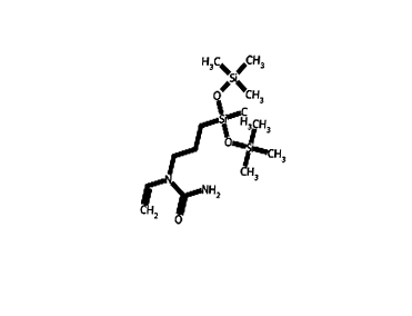 C=CN(CCC[Si](C)(O[Si](C)(C)C)O[Si](C)(C)C)C(N)=O